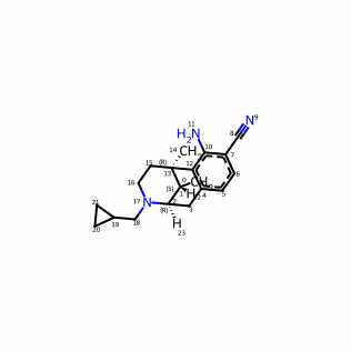 C[C@@H]1[C@H]2Cc3ccc(C#N)c(N)c3[C@]1(C)CCN2CC1CC1